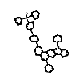 O=P(c1ccccc1)(c1ccccc1)c1ccc(-c2ccc(-c3ccc4nc(-c5ccccc5)c5cc6c7ccccc7n(-c7ccccc7)c6cc5c4c3)cc2)cc1